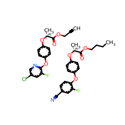 C#CCOC(=O)[C@@H](C)Oc1ccc(Oc2ncc(Cl)cc2F)cc1.CCCCOC(=O)[C@@H](C)Oc1ccc(Oc2ccc(C#N)cc2F)cc1